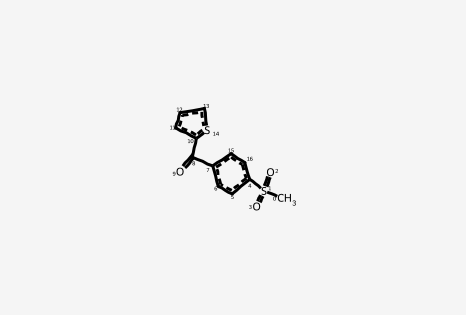 CS(=O)(=O)c1ccc(C(=O)c2cccs2)cc1